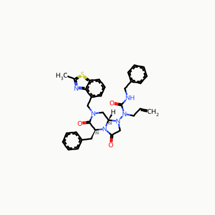 C=CCN(C(=O)NCc1ccccc1)N1CC(=O)N2[C@@H](Cc3ccccc3)C(=O)N(Cc3cccc4sc(C)nc34)C[C@@H]21